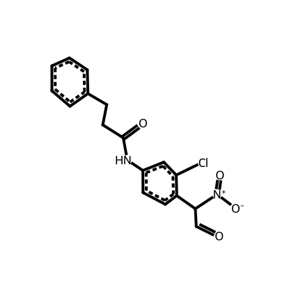 O=CC(c1ccc(NC(=O)CCc2ccccc2)cc1Cl)[N+](=O)[O-]